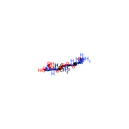 CC(C)(CCC(=O)NCCNC(=O)CN1CCN(CC(=O)O)CCN(CC(=O)O)CC1)OCC(C)(C)OCCNC(=O)CCCNC(=O)c1ccc(NCc2cnc3nc(N)[nH]c(=O)c3n2)cc1